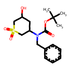 CC(C)(C)OC(=O)N(Cc1ccccc1)C1CC(O)CS(=O)(=O)C1